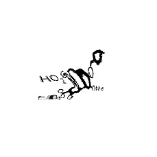 COc1cc2c(cc1OCc1ccccc1)CN(C(=O)O)n1cc(C(=O)OC(C)(C)C)c(=O)cc1-2